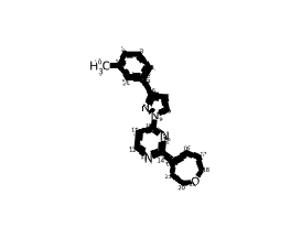 Cc1cccc(-c2ccn(-c3ccnc(C4=CCCOCC4)n3)n2)c1